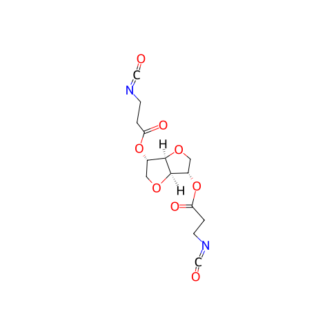 O=C=NCCC(=O)O[C@H]1CO[C@H]2[C@@H]1OC[C@@H]2OC(=O)CCN=C=O